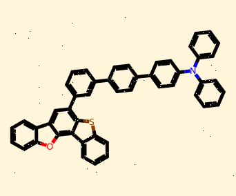 c1ccc(N(c2ccccc2)c2ccc(-c3ccc(-c4cccc(-c5cc6c7ccccc7oc6c6c5sc5ccccc56)c4)cc3)cc2)cc1